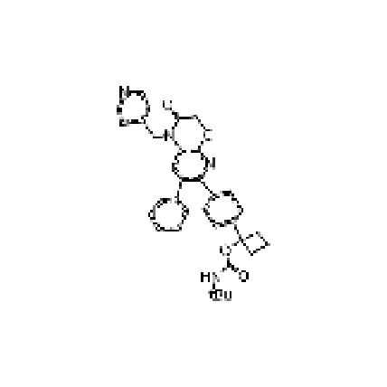 CC(C)(C)NC(=O)OC1(c2ccc(-c3nc4c(cc3-c3ccccc3)N(Cc3ccncc3)C(=O)CO4)cc2)CCC1